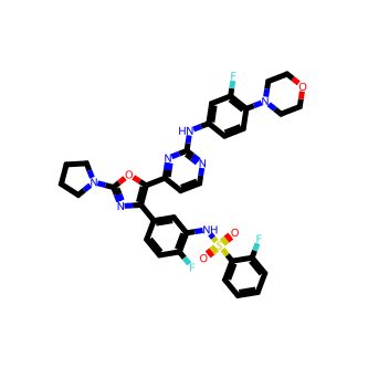 O=S(=O)(Nc1cc(-c2nc(N3CCCC3)oc2-c2ccnc(Nc3ccc(N4CCOCC4)c(F)c3)n2)ccc1F)c1ccccc1F